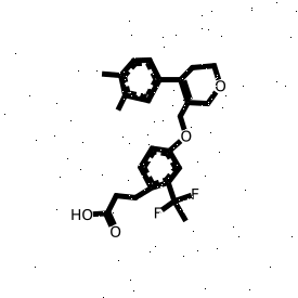 Cc1ccc(C2=C(COc3ccc(CCC(=O)O)c(C(C)(F)F)c3)COCC2)cc1C